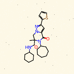 CC1(C(=O)NC2CCCCC2)Cn2nc(-c3cccs3)cc2C(=O)N1C1CCCCCC1